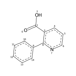 O=C(O)c1cccnc1-c1ccccc1